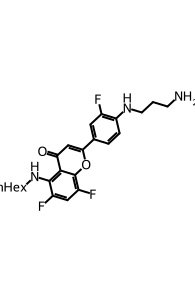 CCCCCCNc1c(F)cc(F)c2oc(-c3ccc(NCCCN)c(F)c3)cc(=O)c12